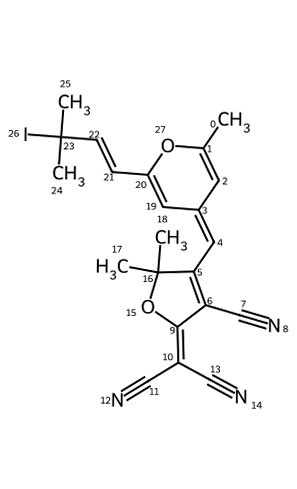 CC1=C/C(=C/C2=C(C#N)C(=C(C#N)C#N)OC2(C)C)C=C(/C=C/C(C)(C)I)O1